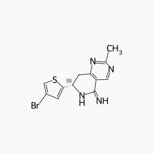 Cc1ncc2c(n1)C[C@@H](c1cc(Br)cs1)NC2=N